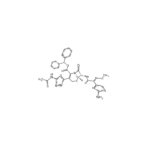 CON=C(C(=O)NC1C(=O)N2C(C(=O)OC(c3ccccc3)c3ccccc3)=C(c3nnc(NC(C)=O)s3)CS[C@@H]12)c1csc(N)n1